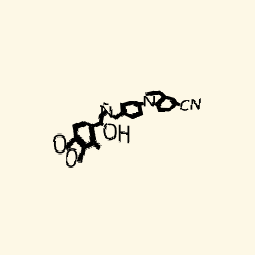 Cc1c(C(O)CN(C)Cc2ccc(-n3ccc4cc(C#N)ccc43)cc2)ccc2c1COC2=O